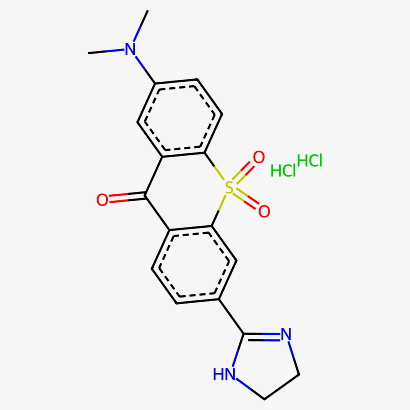 CN(C)c1ccc2c(c1)C(=O)c1ccc(C3=NCCN3)cc1S2(=O)=O.Cl.Cl